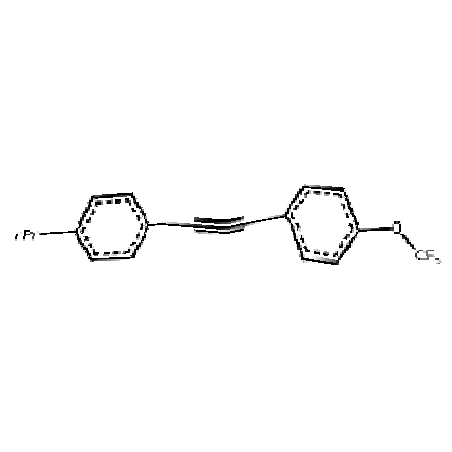 CCCc1ccc(C#Cc2ccc(OC(F)(F)F)cc2)cc1